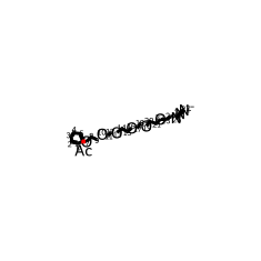 CC(=O)c1ccccc1OCCOCCOCCOCCOCCOCCN=[N+]=[N-]